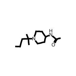 CCCC(C)(C)N1CCC(NC(C)=O)CC1